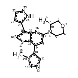 C[C@@H]1COCCN1c1cc(-c2cnnn2C)c2snc(-c3ccn[nH]3)c2n1